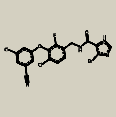 N#Cc1cc(Cl)cc(Oc2c(Cl)ccc(CNC(=O)c3[nH]cnc3Br)c2F)c1